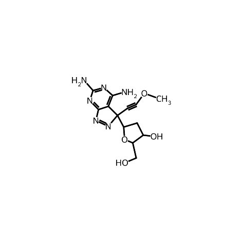 COC#CC1(C2CC(O)C(CO)O2)N=Nc2nc(N)nc(N)c21